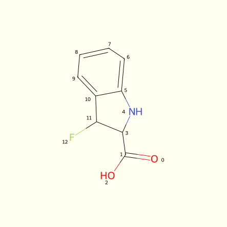 O=C(O)C1Nc2ccccc2C1F